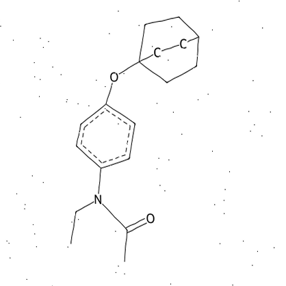 CCN(C(C)=O)c1ccc(OC23CCC(CC2)CC3)cc1